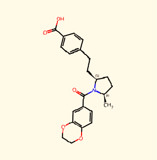 C[C@@H]1CC[C@H](CCc2ccc(C(=O)O)cc2)N1C(=O)c1ccc2c(c1)OCCO2